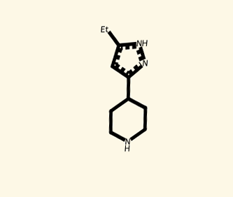 CCc1cc(C2CCNCC2)n[nH]1